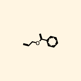 C=CCOC(=C)c1ccccc1